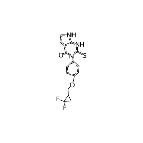 O=c1c2cc[nH]c2[nH]c(=S)n1-c1ccc(OCC2CC2(F)F)cc1